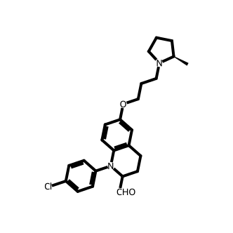 C[C@@H]1CCCN1CCCOc1ccc2c(c1)CCC(C=O)N2c1ccc(Cl)cc1